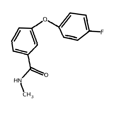 CNC(=O)c1cccc(Oc2ccc(F)cc2)c1